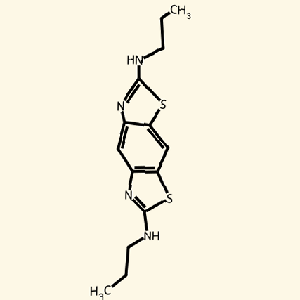 CCCNc1nc2cc3nc(NCCC)sc3cc2s1